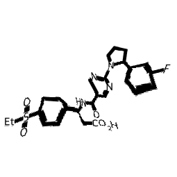 CCS(=O)(=O)c1ccc([C@H](CC(=O)O)NC(=O)c2cnc(N3CCCC3c3cccc(F)c3)nc2)cc1